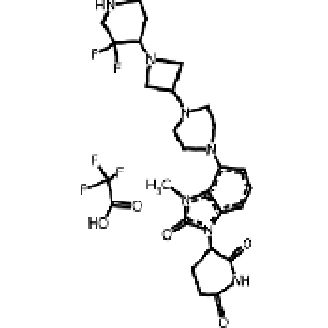 Cn1c(=O)n(C2CCC(=O)NC2=O)c2cccc(N3CCN(C4CN(C5CCNCC5(F)F)C4)CC3)c21.O=C(O)C(F)(F)F